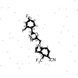 N#Cc1ccc2c(ccn2Cc2nnc(-c3ccc(F)cc3F)o2)c1C(F)(F)F